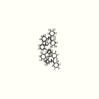 c1ccc(N2c3ccccc3C3(c4ccccc4-c4c(-c5cccc6c5oc5c(N(c7ccccc7)c7ccccc7)cccc56)cccc43)c3ccccc32)cc1